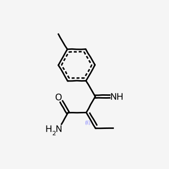 C/C=C(\C(=N)c1ccc(C)cc1)C(N)=O